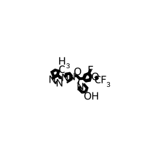 C[C@@H]1CCc2ncnc(N3CCN(C(=O)[C@H](CN4CCC(O)CC4)c4ccc(OC(F)(F)F)c(F)c4)CC3)c21